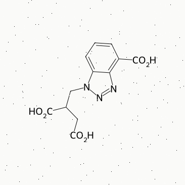 O=C(O)CC(Cn1nnc2c(C(=O)O)cccc21)C(=O)O